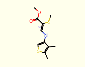 COC(=O)/C(=C/Nc1csc(C)c1C)SC